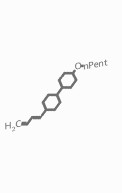 C=CC=CC1CCC(C2CCC(OCCCCC)CC2)CC1